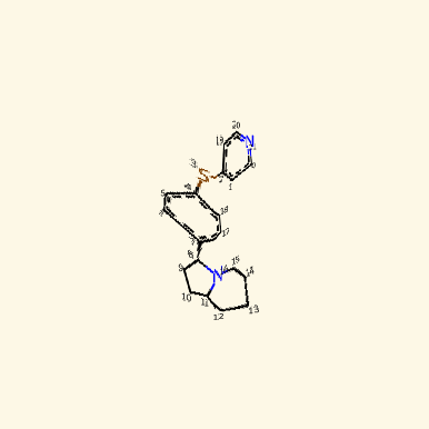 c1cc(Sc2ccc([C@@H]3CCC4CCCCN43)cc2)ccn1